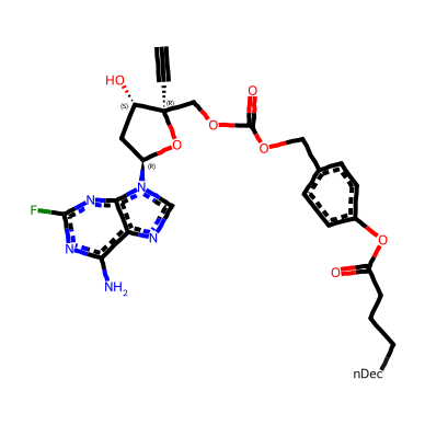 C#C[C@]1(COC(=O)OCc2ccc(OC(=O)CCCCCCCCCCCCC)cc2)O[C@@H](n2cnc3c(N)nc(F)nc32)C[C@@H]1O